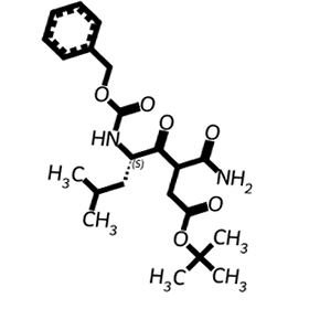 CC(C)C[C@H](NC(=O)OCc1ccccc1)C(=O)C(CC(=O)OC(C)(C)C)C(N)=O